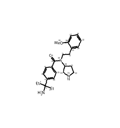 CCC(N)(CC)c1ccc(C(=O)N(CCc2ccccc2OC)C2CCNC2)cc1